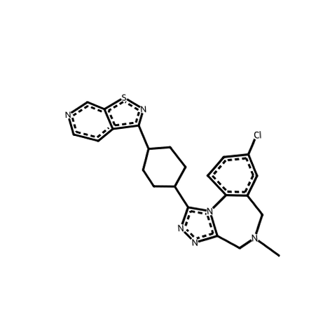 CN1Cc2cc(Cl)ccc2-n2c(nnc2C2CCC(c3nsc4cnccc34)CC2)C1